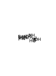 NC(CCCCB(O)O)C1CCN(c2ccc(C(F)F)cn2)CC1